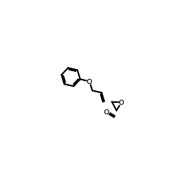 C1CO1.C=CCOc1ccccc1.C=O